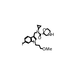 COCCCn1cc(CN(C(=O)[C@H]2CNCCO2)C2CC2)c2ccc(I)cc21